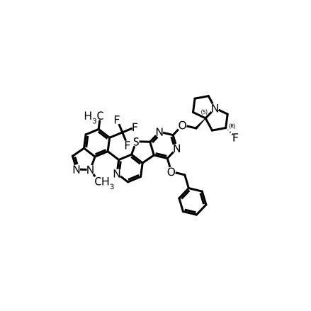 Cc1cc2cnn(C)c2c(-c2nccc3c2sc2nc(OC[C@@]45CCCN4C[C@H](F)C5)nc(OCc4ccccc4)c23)c1C(F)(F)F